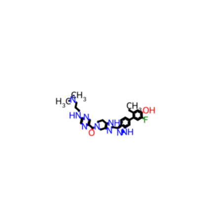 CCc1cc(O)c(F)cc1-c1ccc2c(-c3nc4c([nH]3)CCN(C(=O)c3cnc(NCCCN(C)C)cn3)C4)n[nH]c2c1